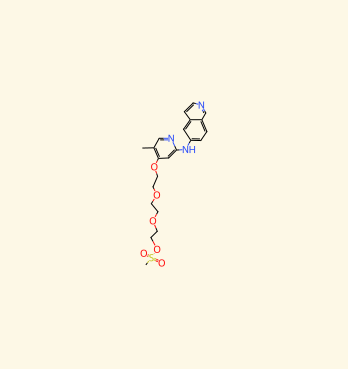 Cc1cnc(Nc2ccc3cnccc3c2)cc1OCCOCCOCCOS(C)(=O)=O